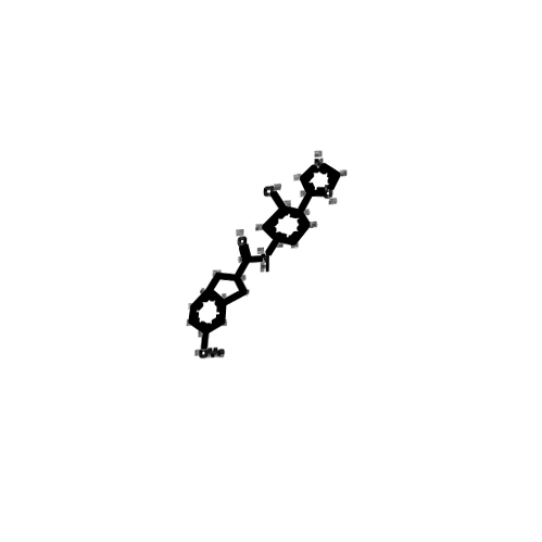 COc1ccc2c(c1)CC(C(=O)Nc1ccc(-c3cnco3)c(Cl)c1)C2